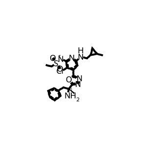 CCS(=O)(=O)N(C)c1nc(NCC2CC2C)cc(-c2nnc([C@](C)(N)Cc3ccccc3)o2)c1Cl